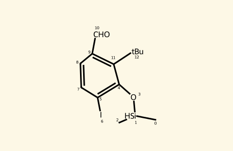 C[SiH](C)Oc1c(I)ccc(C=O)c1C(C)(C)C